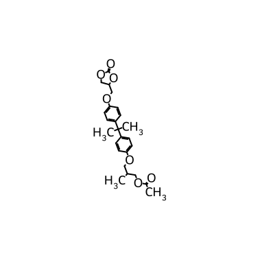 CC(=O)OCC(C)COc1ccc(C(C)(C)c2ccc(OCC3COC(=O)O3)cc2)cc1